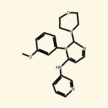 COc1cccc(N2C(Nc3cccnc3)=CC=NC2N2CCOCC2)c1